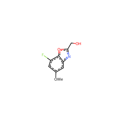 COc1cc(F)c2oc(CO)nc2c1